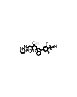 CC(C)(C#N)c1c(F)cc(CCC2(C3CCCC3)CC(O)=C(Cc3nc4ncccn4n3)C(=O)O2)cc1F